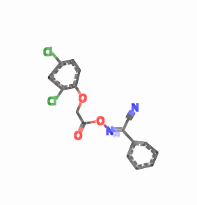 N#C/C(=N\OC(=O)COc1ccc(Cl)cc1Cl)c1ccccc1